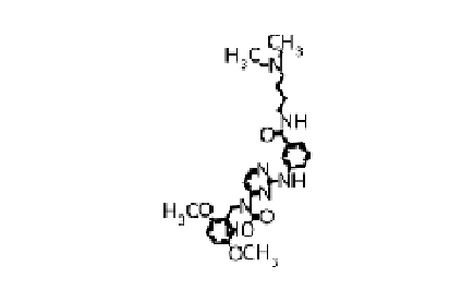 CCN(CC)CCCCNC(=O)c1cccc(Nc2nccc(N(Cc3cc(OC)ccc3OC)C(=O)O)n2)c1